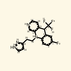 Fc1ccc2c(c1)C(C(F)(F)F)c1ccncc1N2CCc1cc[nH]n1